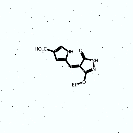 CCOC1=NNC(=O)C1=Cc1cc(C(=O)O)c[nH]1